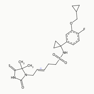 CC1(C)C(=S)NC(=O)N1C/C=C/CCS(=O)(=O)NC1(c2ccc(F)c(OCC3CC3)c2)CC1